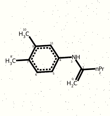 C=C(CCC)Nc1ccc(C)c(C)c1